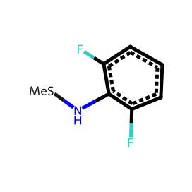 CSNc1c(F)cccc1F